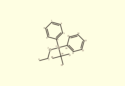 C[CH]O[Si](c1ccccc1)(c1ccccc1)C(C)(C)C